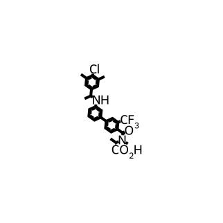 Cc1cc(C(C)Nc2cccc(-c3ccc(C(=O)N(C)[C@@H](C)C(=O)O)c(C(F)(F)F)c3)c2)cc(C)c1Cl